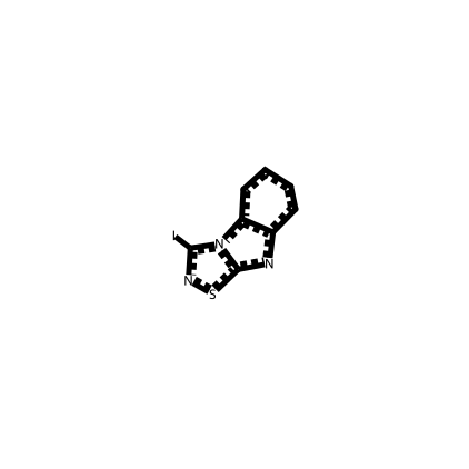 Ic1nsc2nc3ccccc3n12